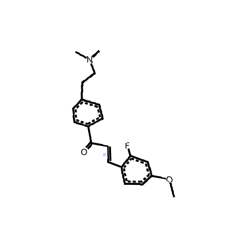 COc1ccc(/C=C/C(=O)c2ccc(CCN(C)C)cc2)c(F)c1